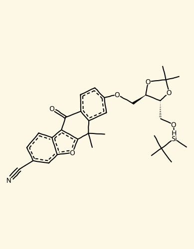 C[SiH](OC[C@H]1OC(C)(C)O[C@@H]1COc1ccc2c(c1)C(C)(C)c1oc3cc(C#N)ccc3c1C2=O)C(C)(C)C